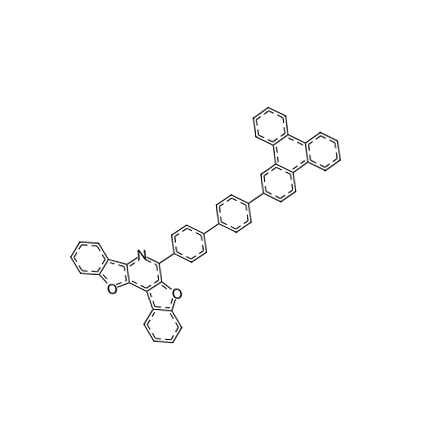 c1ccc2c(c1)oc1c2nc(-c2ccc(-c3ccc(-c4ccc5c6ccccc6c6ccccc6c5c4)cc3)cc2)c2oc3ccccc3c21